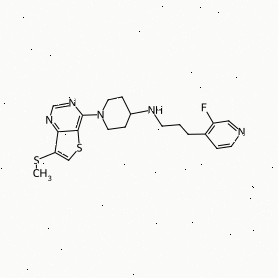 CSc1csc2c(N3CCC(NCCCc4ccncc4F)CC3)ncnc12